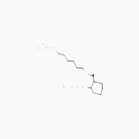 CCCCCCCCCCCCCCCCOC(=O)C1CCCCC1C(=O)OCC